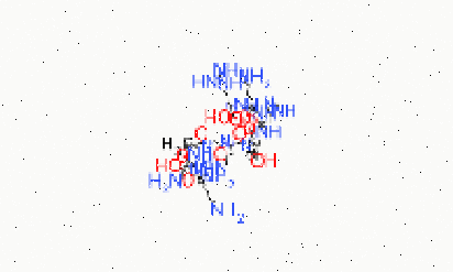 C[C@H](NC(=O)[C@@H](NC(=O)[C@@H](N)CCCCN)[C@@H](O)CN)C(=O)NCC(=O)/N=C(\CCCN)C(=O)N1C[C@H](O)C[C@H]1C(=O)N[C@@H](Cc1cnc[nH]1)C(=O)N[C@@H](CCCCN)C(=O)N/C(=C\CCNC(=N)N)C(=O)O